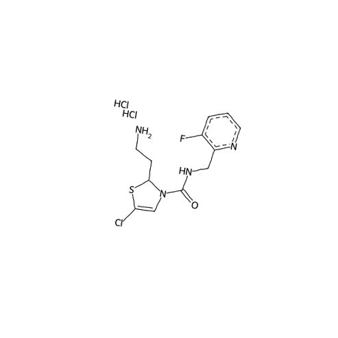 Cl.Cl.NCCC1SC(Cl)=CN1C(=O)NCc1ncccc1F